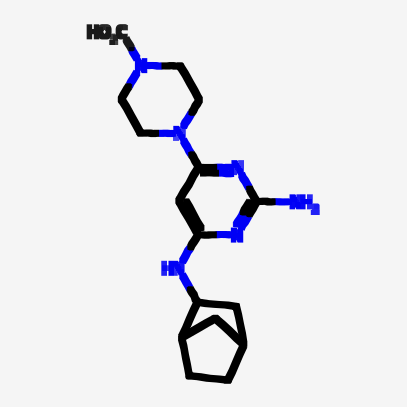 Nc1nc(NC2CC3CCC2C3)cc(N2CCN(C(=O)O)CC2)n1